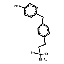 CCCCc1ccc(Sc2ccc(CCC(CC)(CC)NC(C)=O)cc2)cc1